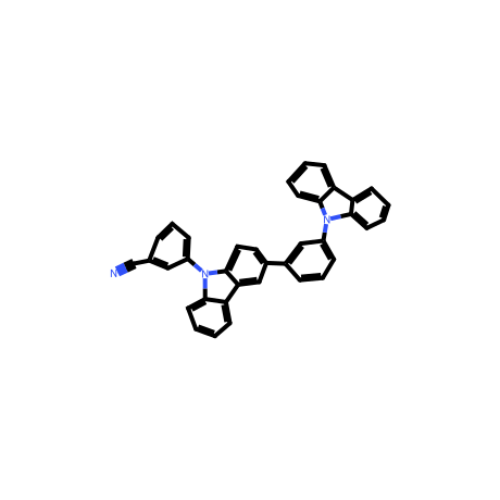 N#Cc1cccc(-n2c3ccccc3c3cc(-c4cccc(-n5c6ccccc6c6ccccc65)c4)ccc32)c1